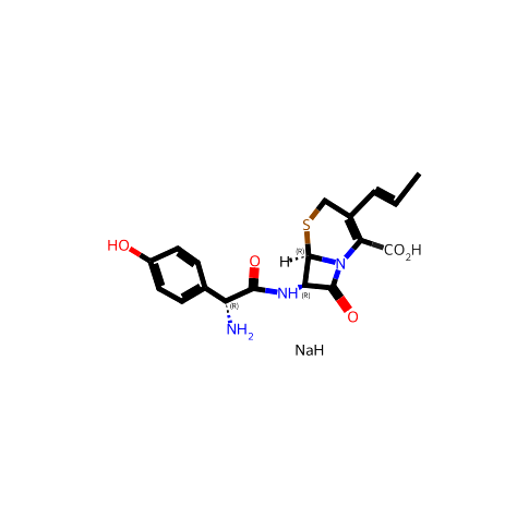 CC=CC1=C(C(=O)O)N2C(=O)[C@@H](NC(=O)[C@H](N)c3ccc(O)cc3)[C@H]2SC1.[NaH]